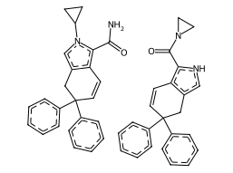 NC(=O)c1c2c(cn1C1CC1)CC(c1ccccc1)(c1ccccc1)C=C2.O=C(c1[nH]cc2c1C=CC(c1ccccc1)(c1ccccc1)C2)N1CC1